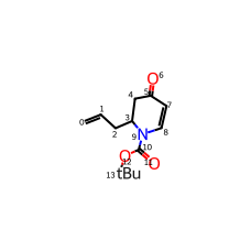 C=CCC1CC(=O)C=CN1C(=O)OC(C)(C)C